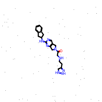 O=C(CNCCC1=NNNC1)N1Cc2cnc(NC3Cc4ccccc4C3)nc2C1